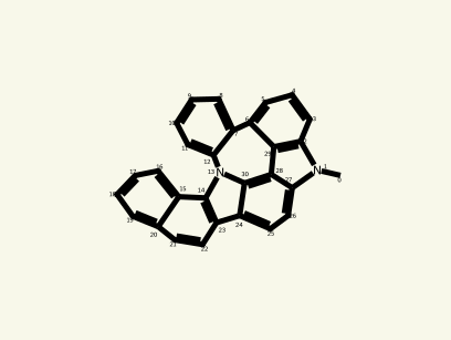 Cn1c2cccc3c4ccccc4n4c5c6ccccc6ccc5c5ccc1c(c32)c54